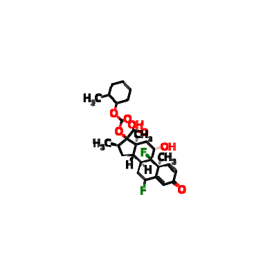 CC1CCCCC1OC(=O)O[C@]1(C(=O)O)[C@H](C)C[C@H]2[C@@H]3C[C@H](F)C4=CC(=O)C=C[C@]4(C)[C@@]3(F)[C@@H](O)C[C@@]21C